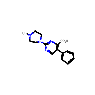 CN1CCN(c2ncc(-c3ccccc3)c(C(=O)O)n2)CC1